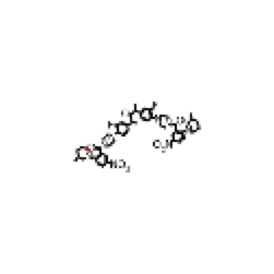 CC1CCCN(c2ccc([N+](=O)[O-])cc2C(=O)N2CCN(c3ccc(C(C)C(=O)C(C)c4ccc(N5CCN(C(=O)c6cc([N+](=O)[O-])ccc6N6CCCC(C)C6)CC5)c(F)c4)cc3F)CC2)C1